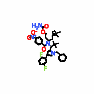 CC(C)(C)[C@H](c1cc(-c2cc(F)ccc2F)cn1Cc1ccccc1)N(C(=O)c1ccc([N+](=O)[O-])cc1)C(CCOC(N)=O)CC[Si](C)(C)C